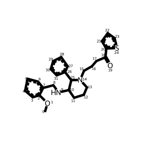 COc1ccccc1CNC1CCCN(CCCC(=O)c2cccs2)C1c1ccccc1